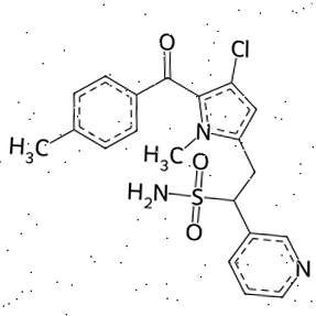 Cc1ccc(C(=O)c2c(Cl)cc(CC(c3cccnc3)S(N)(=O)=O)n2C)cc1